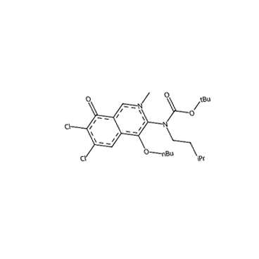 CCCCOc1c2cc(Cl)c(Cl)c(=O)c-2cn(C)c1N(CCC(C)C)C(=O)OC(C)(C)C